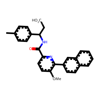 COc1ccc(C(=O)NC(CC(=O)O)c2ccc(C)cc2)nc1-c1ccc2ccccc2c1